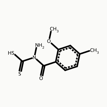 COc1cc(C)ccc1C(=O)N(N)C(=S)S